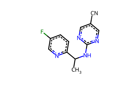 CC(Nc1ncc(C#N)cn1)c1ccc(F)cn1